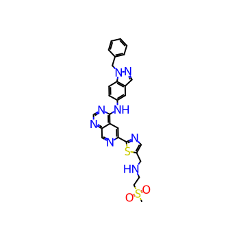 CS(=O)(=O)CCNCc1cnc(-c2cc3c(Nc4ccc5c(cnn5Cc5ccccc5)c4)ncnc3cn2)s1